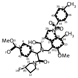 COC(=O)c1ccc(C(C(=O)N2CC[C@@H](F)C2)N(CO)Cc2c(OC)cc(C)c3c2ccn3S(=O)(=O)c2ccc(C)cc2)cc1